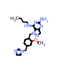 CCCCNc1nc(N)nc2cnn(Cc3ccc(Cn4ccnc4)cc3OC)c12